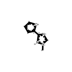 Cn1cnc(-c2cc[c]o2)n1